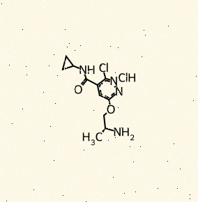 C[C@H](N)COc1cc(C(=O)NC2CC2)c(Cl)nn1.Cl